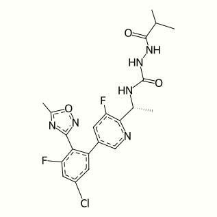 Cc1nc(-c2c(F)cc(Cl)cc2-c2cnc([C@@H](C)NC(=O)NNC(=O)C(C)C)c(F)c2)no1